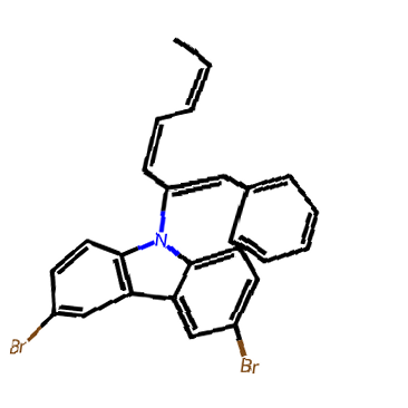 C\C=C/C=C\C(=C\c1ccccc1)n1c2ccc(Br)cc2c2cc(Br)ccc21